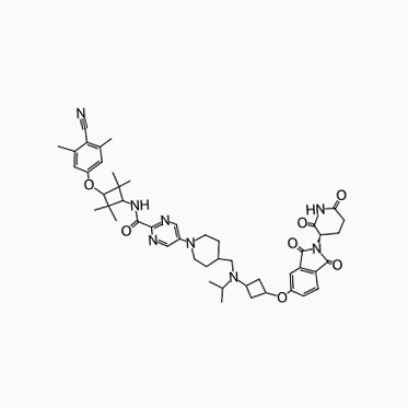 Cc1cc(OC2C(C)(C)C(NC(=O)c3ncc(N4CCC(CN(C(C)C)C5CC(Oc6ccc7c(c6)C(=O)N([C@@H]6CCC(=O)NC6=O)C7=O)C5)CC4)cn3)C2(C)C)cc(C)c1C#N